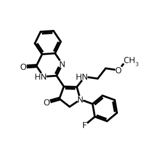 COCCNC1=C(c2nc3ccccc3c(=O)[nH]2)C(=O)CN1c1ccccc1F